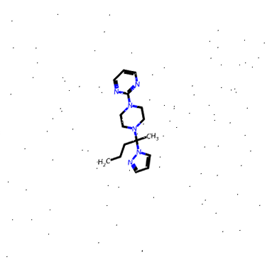 [CH2]CCC(C)(N1CCN(c2ncccn2)CC1)n1cccn1